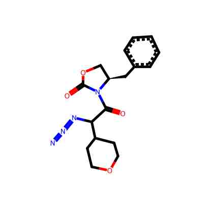 [N-]=[N+]=NC(C(=O)N1C(=O)OC[C@H]1Cc1ccccc1)C1CCOCC1